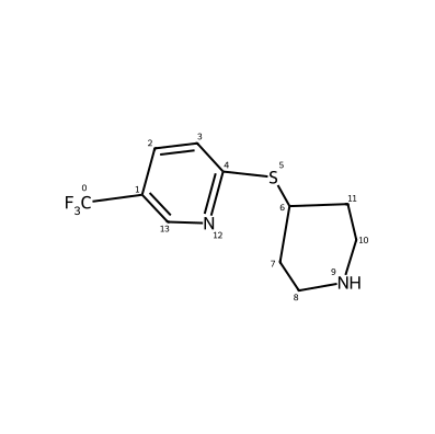 FC(F)(F)c1ccc(SC2CCNCC2)nc1